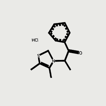 CC1=C(C)N(C(C)C(=O)c2ccccc2)CS1.Cl